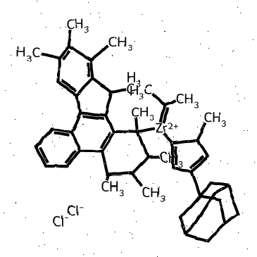 C[C](C)=[Zr+2]([C]1=CC(C23CC4CC(CC(C4)C2)C3)=CC1C)[C]1(C)c2c3c(c4ccccc4c2C(C)C(C)C1C)-c1cc(C)c(C)c(C)c1C3C.[Cl-].[Cl-]